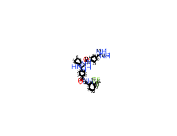 CC(Nc1ccccc1NC(=O)Nc1ccc(C(=N)N)cc1)c1ccc(C(=O)NCc2cccc(C(F)(F)F)c2)cc1